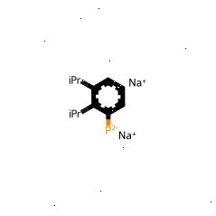 CC(C)c1cccc([P-2])c1C(C)C.[Na+].[Na+]